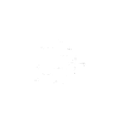 CC(C(=O)O)c1cc2c(N(C)C)cccc2c(S(N)(=O)=O)c1N